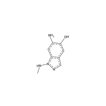 CNn1ncc2cc(O)c(N)cc21